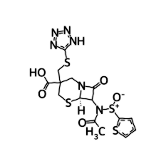 CC(=O)N(C1C(=O)N2CC(CSc3nnn[nH]3)(C(=O)O)CS[C@H]12)[S+]([O-])c1cccs1